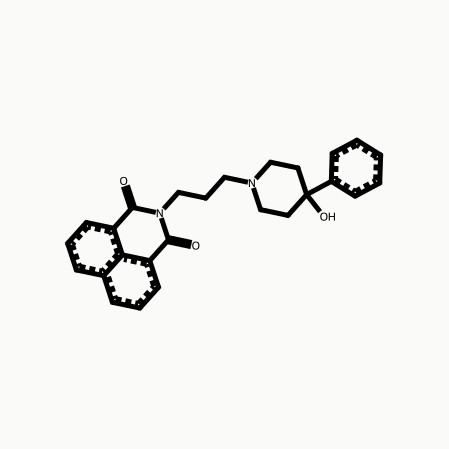 O=C1c2cccc3cccc(c23)C(=O)N1CCCN1CCC(O)(c2ccccc2)CC1